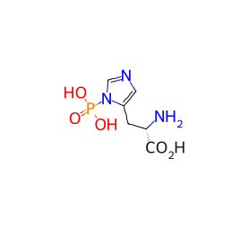 N[C@@H](Cc1cncn1P(=O)(O)O)C(=O)O